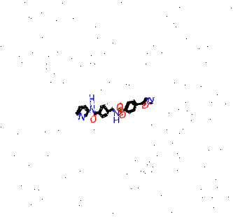 O=C(Nc1cccnc1)c1ccc(CNS(=O)(=O)c2ccc(-c3cnco3)cc2)cc1